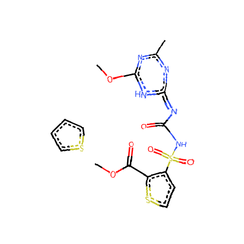 COC(=O)c1sccc1S(=O)(=O)NC(=O)N=c1nc(C)nc(OC)[nH]1.c1ccsc1